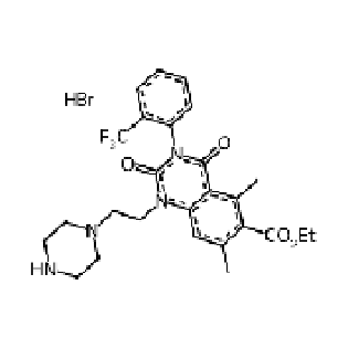 Br.CCOC(=O)c1c(C)cc2c(c1C)c(=O)n(-c1ccccc1C(F)(F)F)c(=O)n2CCN1CCNCC1